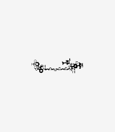 CCn1nc(C2CC2)cc1Nc1nc(COCCCOCCOCCOCCCNc2cccc3c2C(=O)N(C2CCC(=O)NC2=O)C3=O)nc2[nH]c3cc(-c4c(C)noc4C)c(OC)cc3c12